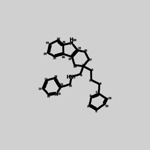 c1ccc(CCCC2(CNCc3ccccn3)CCc3[nH]c4ccccc4c3C2)cc1